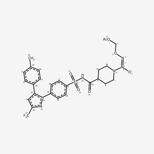 CC(=O)OCO/N=[N+](/[O-])N1CCC(C(=O)NS(=O)(=O)c2ccc(-n3nc(C(F)(F)F)cc3-c3ccc(C)cc3)cc2)CC1